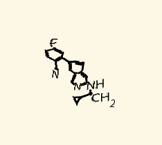 C=C(Nc1cc2ccc(-c3cc(F)ccc3C#N)cc2cn1)C1CC1